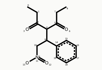 CCC(=O)C(C(=O)CC)C(C[N+](=O)[O-])c1ccccc1